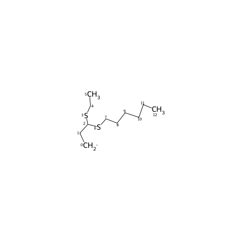 [CH2]CC(SCC)SCCCCCC